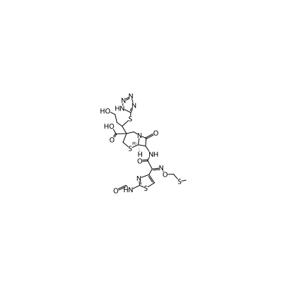 CSCON=C(C(=O)NC1C(=O)N2CC(C(=O)O)(C(CCO)Sc3nnn[nH]3)CS[C@H]12)c1csc(NC=O)n1